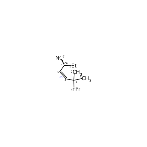 CCCC(C)(C)/C=C\[C@@H](C#N)CC